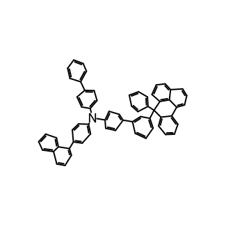 c1ccc(-c2ccc(N(c3ccc(-c4cccc(C5(c6ccccc6)c6ccccc6-c6cccc7cccc5c67)c4)cc3)c3ccc(-c4cccc5ccccc45)cc3)cc2)cc1